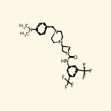 CN(C)c1ccc(CN2CCN(C3CN(C(=O)Nc4cc(C(F)(F)F)cc(C(F)(F)F)c4)C3)CC2)cc1